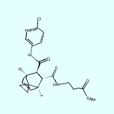 COC(=O)CCNC(=O)[C@H]1[C@H](C(=O)Nc2ccc(Cl)nc2)[C@@H]2C=C[C@H]1C21CC1